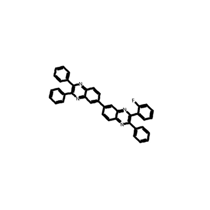 Fc1ccccc1-c1nc2cc(-c3ccc4nc(-c5ccccc5)c(-c5ccccc5)nc4c3)ccc2nc1-c1ccccc1